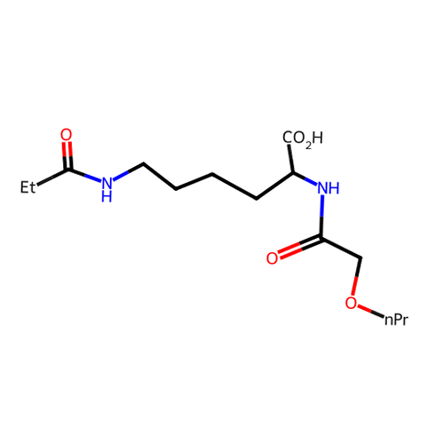 CCCOCC(=O)NC(CCCCNC(=O)CC)C(=O)O